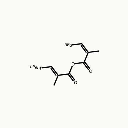 CCCCC=C(C)C(=O)OC(=O)C(C)=CCCCCC